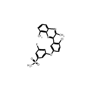 Cc1nc2cccc(C(F)(F)F)c2nc1-c1cc(Oc2cc(F)cc(S(C)(=O)=O)c2)ccc1Cl